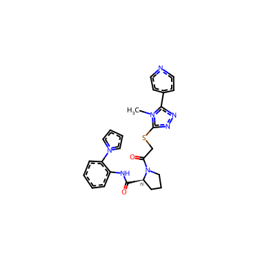 Cn1c(SCC(=O)N2CCC[C@H]2C(=O)Nc2ccccc2-n2cccc2)nnc1-c1ccncc1